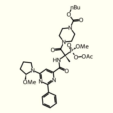 CCCCOC(=O)N1CCN(C(=O)[C@@](C)(NC(=O)c2cc(N3CCC[C@@H]3OC)nc(-c3ccccc3)n2)[P@@](=O)(OC)OOC(C)=O)CC1